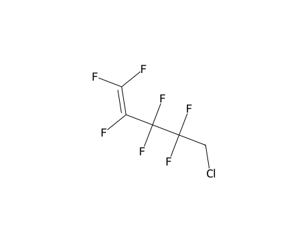 FC(F)=C(F)C(F)(F)C(F)(F)CCl